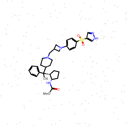 COC(=O)N[C@H]1CCC[C@@H]1C(C#N)(c1ccccc1)C1CCN(CC2CN(c3ccc(S(=O)(=O)c4cn[nH]c4)cc3)C2)CC1